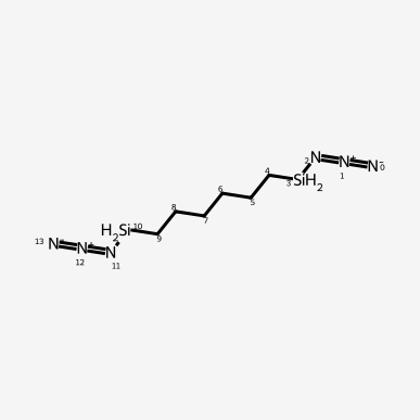 [N-]=[N+]=N[SiH2]CCCCCC[SiH2]N=[N+]=[N-]